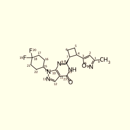 Cc1cc(C2CC[C@@H]2c2nc3c(cnn3C3CCC(F)(F)CC3)c(=O)[nH]2)on1